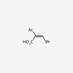 CC(=O)/C(=C/C(C)C)C(=O)O